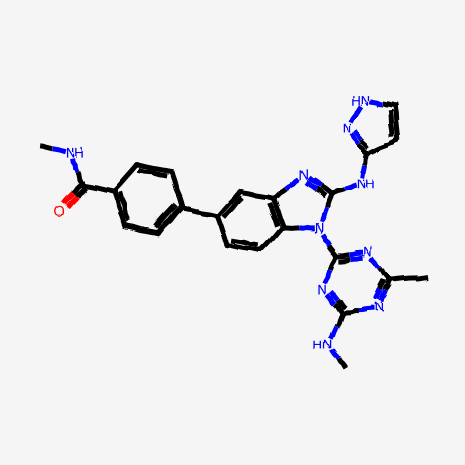 CNC(=O)c1ccc(-c2ccc3c(c2)nc(Nc2cc[nH]n2)n3-c2nc(C)nc(NC)n2)cc1